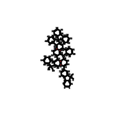 CC1(C)c2ccccc2-c2ccc(C3=CCC(N(c4ccccc4-c4ccc5c(c4)C4(c6ccccc6-c6ccccc64)c4ccccc4-5)c4ccccc4-c4cccc5c4-c4ccccc4C5(C)C)C=C3)cc21